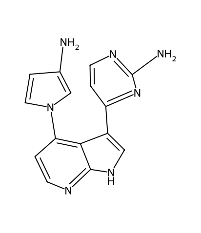 Nc1ccn(-c2ccnc3[nH]cc(-c4ccnc(N)n4)c23)c1